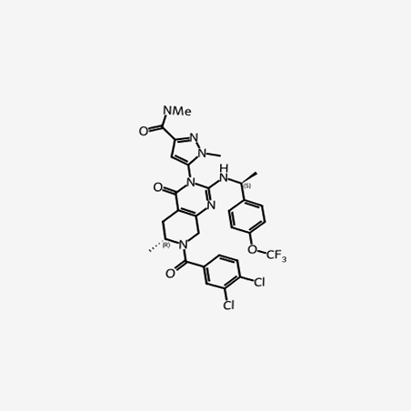 CNC(=O)c1cc(-n2c(N[C@@H](C)c3ccc(OC(F)(F)F)cc3)nc3c(c2=O)C[C@@H](C)N(C(=O)c2ccc(Cl)c(Cl)c2)C3)n(C)n1